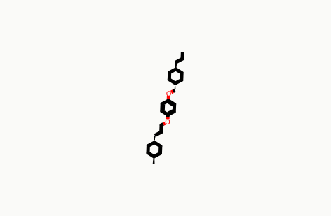 CCC[C@H]1CC[C@H](COc2ccc(OCCC[C@H]3CC[C@H](C)CC3)cc2)CC1